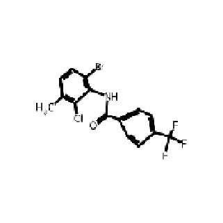 Cc1ccc(Br)c(NC(=O)c2ccc(C(F)(F)F)cc2)c1Cl